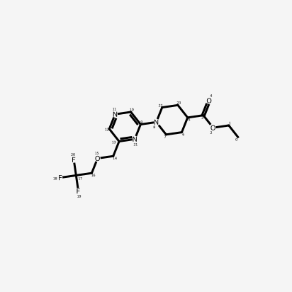 CCOC(=O)C1CCN(c2cncc(COCC(F)(F)F)n2)CC1